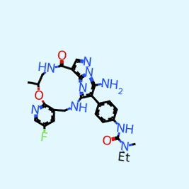 CCN(C)C(=O)Nc1ccc(-c2c3nc4c(cnn4c2N)C(=O)NCC(C)Oc2ncc(F)cc2CN3)cc1